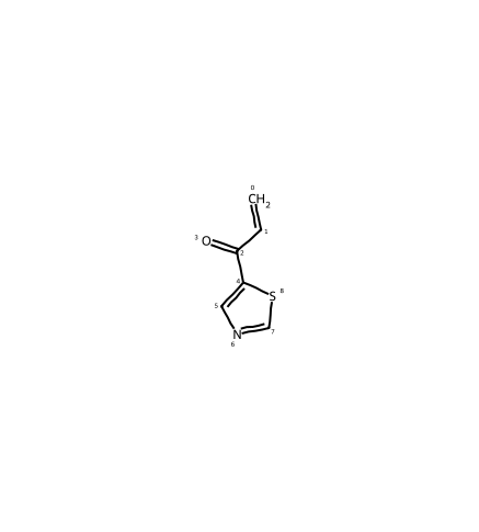 C=CC(=O)c1cncs1